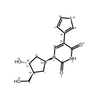 O=c1[nH]c(=O)n([C@H]2C[C@@H](CO)[C@H](O)C2)cc1-c1ccsc1